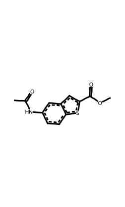 COC(=O)c1cc2cc(NC(C)=O)ccc2s1